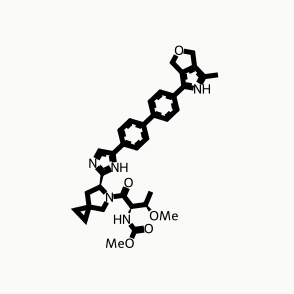 COC(=O)N[C@H](C(=O)N1CC2(CC2)C[C@H]1c1ncc(-c2ccc(-c3ccc(-c4[nH]c(C)c5c4COC5)cc3)cc2)[nH]1)[C@@H](C)OC